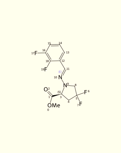 COC(=O)[C@@H]1CC(F)(F)CN1/N=C/c1cccc(F)c1F